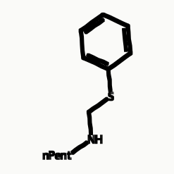 CCCCCNCSc1ccccc1